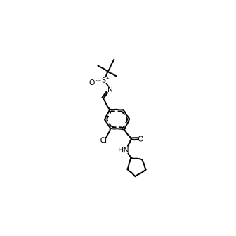 CC(C)(C)[S@@+]([O-])/N=C/c1ccc(C(=O)NC2CCCC2)c(Cl)c1